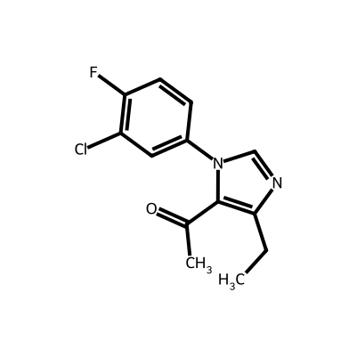 CCc1ncn(-c2ccc(F)c(Cl)c2)c1C(C)=O